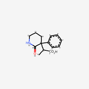 CC(C(=O)O)C1(c2ccccc2)CCCNC1=O